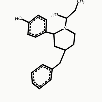 CCC(O)N1CCC(Cc2ccccc2)CC1c1ccc(O)cc1